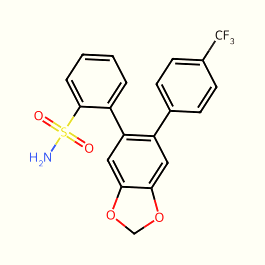 NS(=O)(=O)c1ccccc1-c1cc2c(cc1-c1ccc(C(F)(F)F)cc1)OCO2